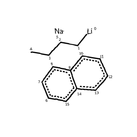 [Li][CH2]CCC.[Na].c1ccc2ccccc2c1